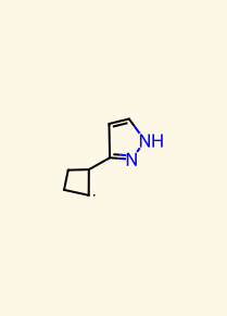 [CH]1CCC1c1cc[nH]n1